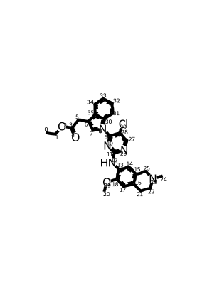 CCOC(=O)Cc1cn(-c2nc(Nc3cc4c(cc3OC)CCN(C)C4)ncc2Cl)c2ccccc12